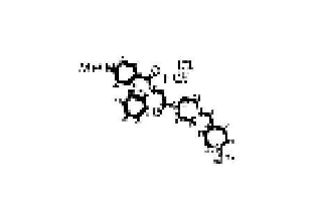 COc1ccc(C(=O)N(CC(=O)N2CCN(CC3CCN(C(C)C)CC3)CC2)c2ccccc2)cc1.Cl.Cl.Cl